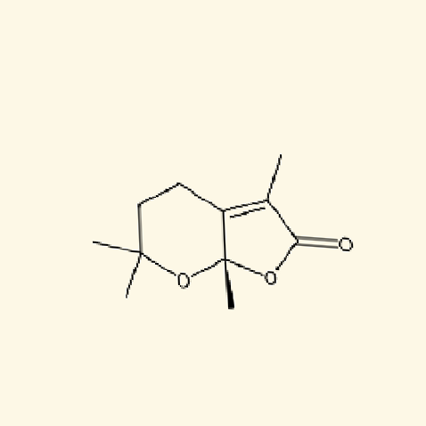 CC1=C2CCC(C)(C)O[C@@]2(C)OC1=O